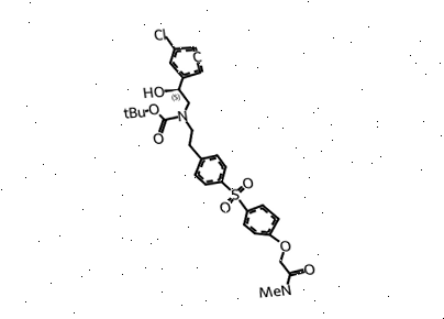 CNC(=O)COc1ccc(S(=O)(=O)c2ccc(CCN(C[C@@H](O)c3cccc(Cl)c3)C(=O)OC(C)(C)C)cc2)cc1